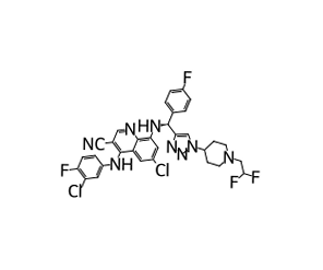 N#Cc1cnc2c(N[C@@H](c3ccc(F)cc3)c3cn(C4CCN(CC(F)F)CC4)nn3)cc(Cl)cc2c1Nc1ccc(F)c(Cl)c1